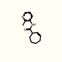 Cc1ncccc1NC(=O)C1C=CCCCC1